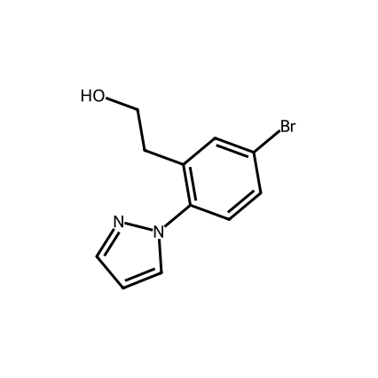 OCCc1cc(Br)ccc1-n1cccn1